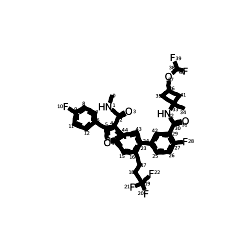 CNC(=O)c1c(-c2ccc(F)cc2)oc2cc(CCC(F)(F)F)c(-c3ccc(F)c(C(=O)NC4(C)CC(OC(F)F)C4)c3)cc12